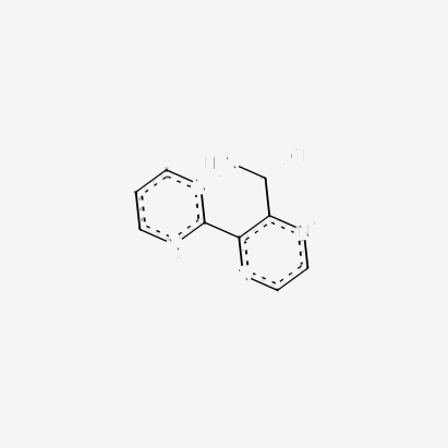 C[C@@H](N)c1nccnc1-c1ncccn1